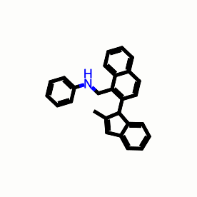 CC1=Cc2ccccc2C1c1ccc2ccccc2c1CNc1ccccc1